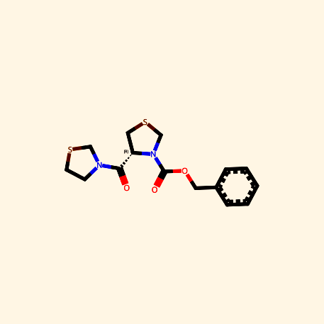 O=C([C@@H]1CSCN1C(=O)OCc1ccccc1)N1CCSC1